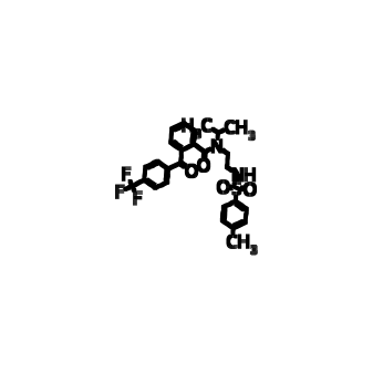 Cc1ccc(S(=O)(=O)NCCN(C(=O)c2ccccc2C(=O)c2ccc(C(F)(F)F)cc2)C(C)C)cc1